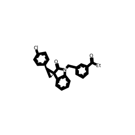 CCC(=O)c1cccc(CN2C(=O)[C@@]3(C[C@H]3c3ccc(Cl)cc3)c3ccccc32)c1